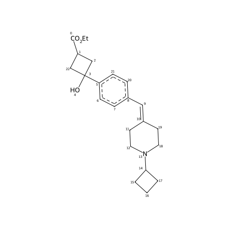 CCOC(=O)C1CC(O)(c2ccc(C=C3CCN(C4CCC4)CC3)cc2)C1